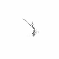 CCCCCCCCCCCCCCOC[C@H](COP(=O)(O)OC[C@@]1(C#N)OC[C@](O)(c2ccc3c(N)ncnn23)[C@@H]1O)Oc1ccc(C#N)cn1